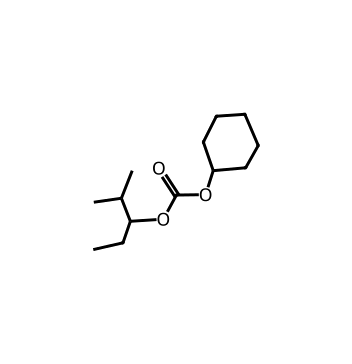 CCC(OC(=O)OC1CCCCC1)C(C)C